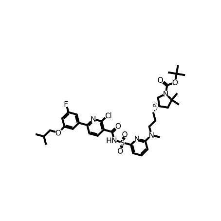 CC(C)COc1cc(F)cc(-c2ccc(C(=O)NS(=O)(=O)c3cccc(N(C)CCC[C@@H]4CN(C(=O)OC(C)(C)C)C(C)(C)C4)n3)c(Cl)n2)c1